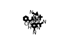 CC(C)(C)CNc1c(C#N)cnc2c(C#N)cc(N[C@H](C3=CN(C4(C#N)CC4)NN3)c3ccccc3Cl)cc12